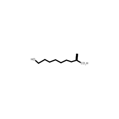 C=C(CCCCCCCO)C(=O)O